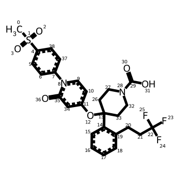 CS(=O)(=O)c1ccc(-n2ccc(OC3(c4ccccc4CCC(F)(F)F)CCN(C(=O)O)CC3)cc2=O)cc1